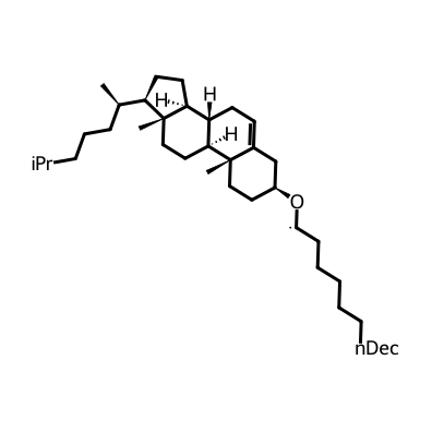 CCCCCCCCCCCCCCC[CH]O[C@H]1CC[C@@]2(C)C(=CC[C@H]3[C@@H]4CC[C@H]([C@H](C)CCCC(C)C)[C@@]4(C)CC[C@@H]32)C1